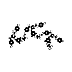 CSc1ccc(C(=O)[C@H]2CN(C(=O)Oc3ccc(Cl)cc3)C[C@@H]2Cc2cc(C)c(OC(C)(C)C(=O)OCSc3ccc(C(=O)[C@@H]4CN(C(=O)Oc5ccc(Cl)cc5)C[C@H]4Cc4cc(C)c(OC(C)(C)C(=O)OCSc5ccc(C(=O)[C@H]6CN(C(=O)Oc7ccc(F)cc7)C[C@@H]6Cc6cc(C)c(OC(C)(C)C(=O)O)c(C)c6)cc5)c(C)c4)cc3)c(C)c2)cc1